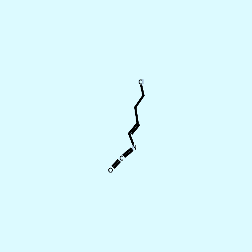 O=C=N/C=C/CCCl